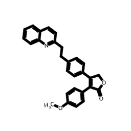 COc1ccc(C2=C(c3ccc(CCc4ccc5ccccc5n4)cc3)COC2=O)cc1